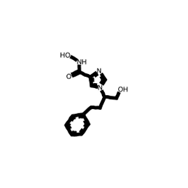 O=C(NO)c1cn(C(CO)CCc2ccccc2)cn1